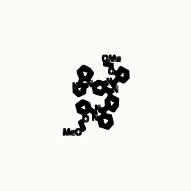 COCCOc1ccccc1-c1nc(-c2cccc(-c3nc(-c4ccccc4OCCOC)nc4cc(-n5c6ccccc6c6ncccc65)ccc34)c2)c2ccccc2n1